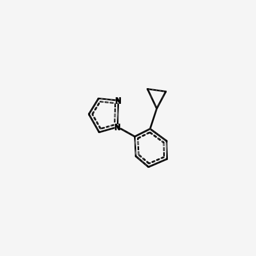 c1ccc(-n2cccn2)c(C2CC2)c1